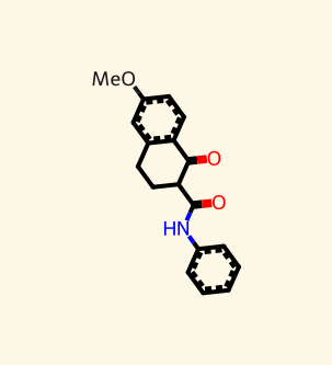 COc1ccc2c(c1)CCC(C(=O)Nc1ccccc1)C2=O